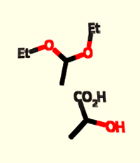 CC(O)C(=O)O.CCOC(C)OCC